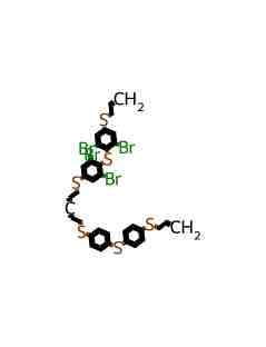 C=CCSc1ccc(Sc2ccc(SCC=C=CCSc3cc(Br)c(Sc4c(Br)cc(SCC=C)cc4Br)c(Br)c3)cc2)cc1